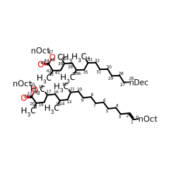 CCCCCCCCC=CCCCCCCCCC(C)CC(C)CC(C)CC(C)C(=O)OCCCCCCCC.CCCCCCCCCCCCCCCCC(C)CC(C)CC(C)CC(C)C(=O)OCCCCCCCC